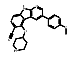 COc1ccc(-c2cnc3[nH]c4cnc(C#N)c(OC5CCNCC5)c4c3c2)cn1